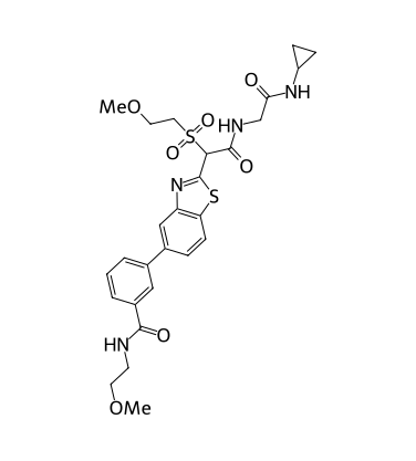 COCCNC(=O)c1cccc(-c2ccc3sc(C(C(=O)NCC(=O)NC4CC4)S(=O)(=O)CCOC)nc3c2)c1